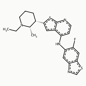 CCN1CCC[C@H](c2cc3c(Nc4cc5ncsc5cc4F)ccnc3s2)[C@@H]1C